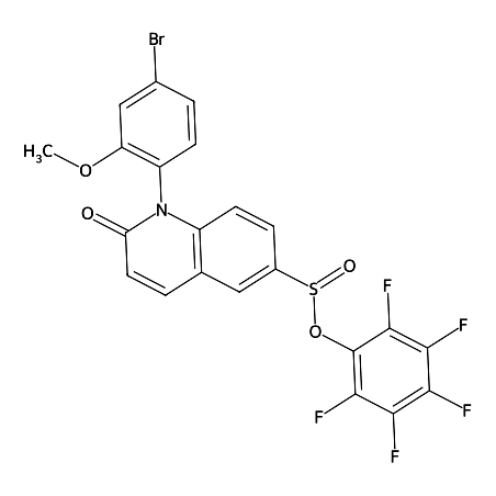 COc1cc(Br)ccc1-n1c(=O)ccc2cc(S(=O)Oc3c(F)c(F)c(F)c(F)c3F)ccc21